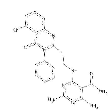 NC(=O)c1c(N)nc(N)nc1NCCc1nc2cccc(Cl)c2c(=O)n1-c1ccccc1